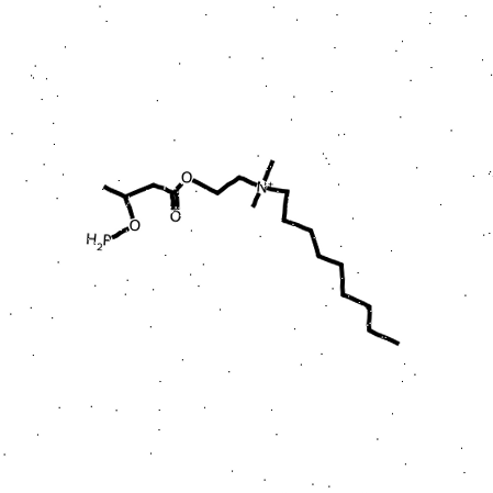 CCCCCCCCC[N+](C)(C)CCOC(=O)CC(C)OP